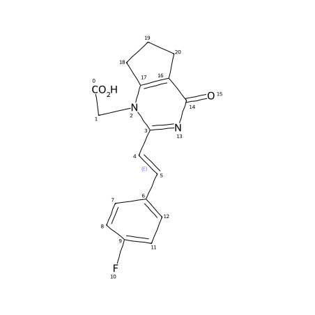 O=C(O)Cn1c(/C=C/c2ccc(F)cc2)nc(=O)c2c1CCC2